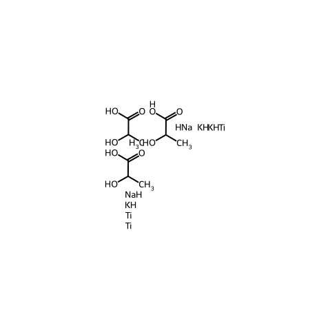 CC(O)C(=O)O.CC(O)C(=O)O.CC(O)C(=O)O.[KH].[KH].[KH].[NaH].[NaH].[Ti].[Ti].[Ti]